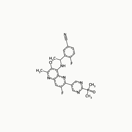 Cc1nc2cc(F)c(-c3cnc(P(C)(C)=O)nc3)nc2c(NC(C)c2cc(C#N)ccc2F)c1Cl